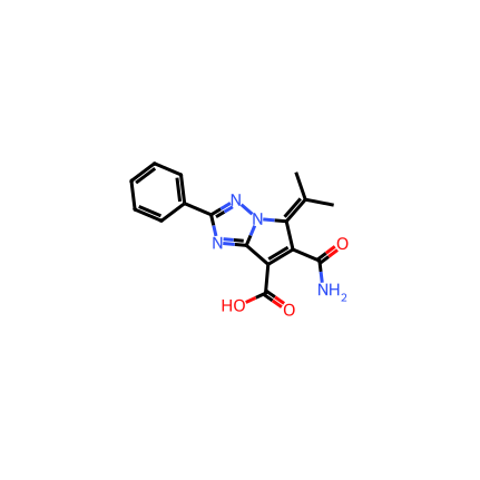 CC(C)=c1c(C(N)=O)c(C(=O)O)c2nc(-c3ccccc3)nn12